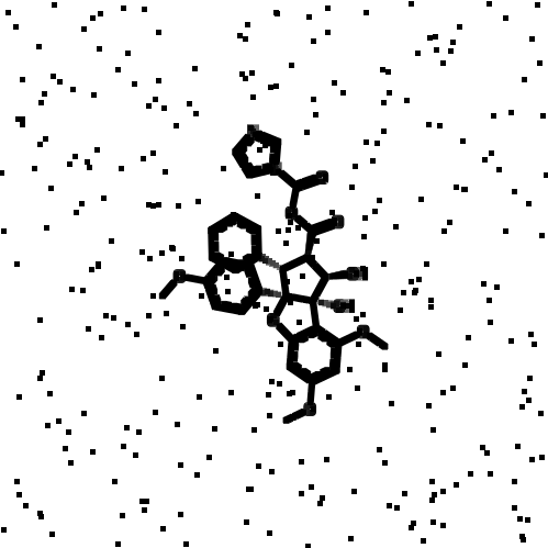 COc1ccc([C@@]23Oc4cc(OC)cc(OC)c4[C@]2(O)[C@H](O)[C@H](C(=O)OC(=O)n2ccnc2)[C@H]3c2ccccc2)cc1